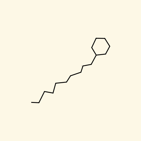 CCCCCCCC[CH]CC1CCCCC1